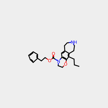 CCCc1c2c(cc3c1OCCN3C(=O)OCCc1ccccc1)CCNCC2